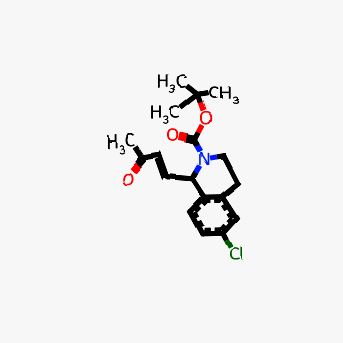 CC(=O)/C=C/C1c2ccc(Cl)cc2CCN1C(=O)OC(C)(C)C